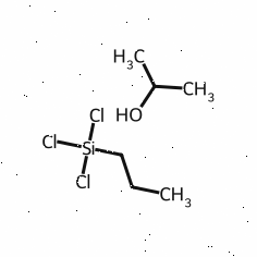 CC(C)O.CCC[Si](Cl)(Cl)Cl